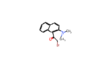 CN(C)c1ccc2ccccc2c1C(=O)CBr